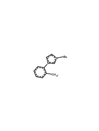 CCCCn1cc[n+](-c2ccccc2C)c1.[I-]